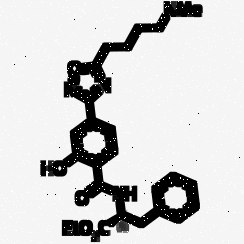 CCOC(=O)[C@H](Cc1ccccc1)NC(=O)c1ccc(-c2noc(CCCCNC)n2)cc1O